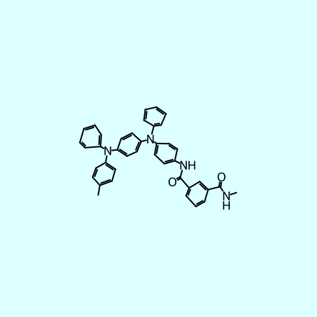 CNC(=O)c1cccc(C(=O)Nc2ccc(N(c3ccccc3)c3ccc(N(c4ccccc4)c4ccc(C)cc4)cc3)cc2)c1